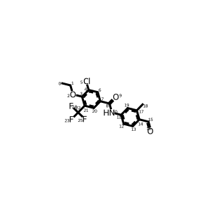 CCOc1c(Cl)cc(C(=O)Nc2ccc(C=O)c(C)c2)cc1C(F)(F)F